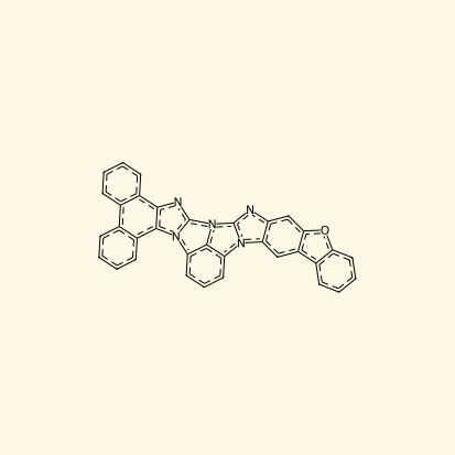 c1ccc2c(c1)oc1cc3nc4n(c3cc12)c1cccc2c1n4c1nc3c4ccccc4c4ccccc4c3n21